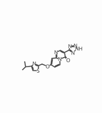 CC(C)c1csc(COc2ccn3c(=O)c(-c4nn[nH]n4)cnc3c2)n1